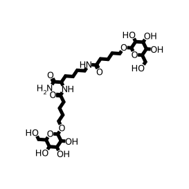 NC(=O)C(CCCCNC(=O)CCCCOC1OC(CO)C(O)C(O)C1O)NC(=O)CCCCOC1OC(CO)C(O)C(O)C1O